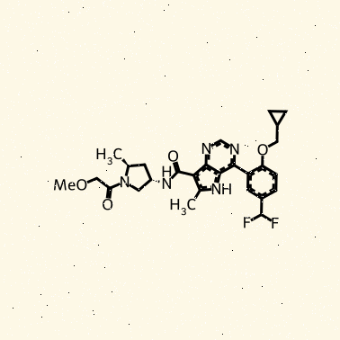 COCC(=O)N1C[C@@H](NC(=O)c2c(C)[nH]c3c(-c4cc(C(F)F)ccc4OCC4CC4)ncnc23)C[C@@H]1C